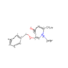 CCCn1cc(OCc2ccccc2)c(=O)cc1C(=O)O